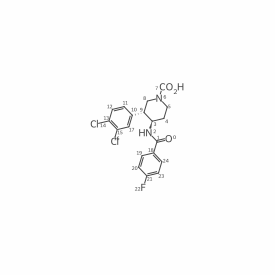 O=C(N[C@@H]1CCN(C(=O)O)C[C@H]1c1ccc(Cl)c(Cl)c1)c1ccc(F)cc1